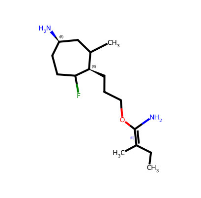 CC/C(C)=C(\N)OCCC[C@@H]1C(C)C[C@H](N)CCC1F